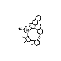 Cc1cc2cc(c1F)[C@@H](CC(=O)O)NC(=O)[C@H](n1cc3ccccc3cc1=O)c1cc(ccc1F)Oc1cccc(C)c1-2